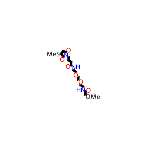 COCC(=O)NCCOCCOCCNC(=O)CCCN1C(=O)CC(SC)C1=O